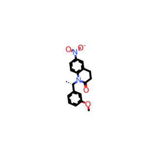 COc1cccc([C@H](C)N2C(=O)CCc3cc([N+](=O)[O-])ccc32)c1